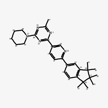 Cc1nc(-c2ccc(-c3ccc4c(c3)C(C)(C)C(C)(C)C4(C)C)nc2)nc(N2CCCCC2)n1